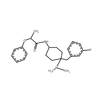 CC(Oc1ccccc1)C(=O)NC1CCC(Cc2cccc(F)c2)(N(C)C)CC1